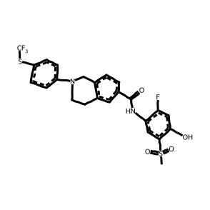 CS(=O)(=O)c1cc(NC(=O)c2ccc3c(c2)CCN(c2ccc(SC(F)(F)F)cc2)C3)c(F)cc1O